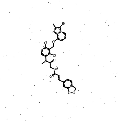 Cc1nc2c(OCc3c(Cl)ccc(N(C)C(=O)CNC(=O)/C=C/c4ccc5c(c4)OOC5)c3Cl)cccn2c1Br